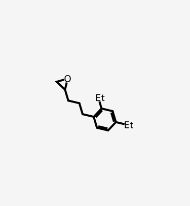 CCc1ccc(CCCC2CO2)c(CC)c1